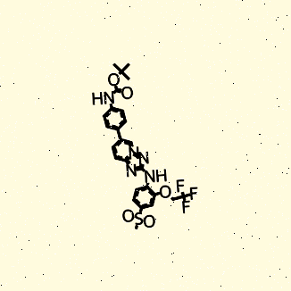 CC(C)(C)OC(=O)Nc1ccc(-c2ccc3nc(Nc4ccc(S(C)(=O)=O)cc4OCC(F)(F)F)nn3c2)cc1